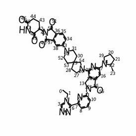 CCn1cnnc1-c1cccc(N2Cc3c(cc(N4CCC[C@H]4C)nc3N3CCC4(CCN(c5ccc6c(c5)C(=O)N(C5CCC(=O)NC5=O)C6=O)CC4)C3)C2=O)n1